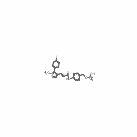 Cn1ncc(/C=C/C(=O)Nc2ccc(CO[PH](=O)O)cc2)c1-c1ccc(F)cc1